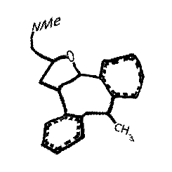 CNCC1CC2c3ccccc3C(C)c3ccccc3C2O1